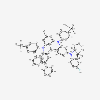 Cc1cc2c3c(c1)N(c1ccc(C(C)(C)C)cc1-c1ccccc1)c1ccc(-c4ccccc4)cc1B3c1ccc(N3c4ccc(F)cc4C4(C)CCCCC34C)cc1N2c1ccc(C(C)(C)C)cc1